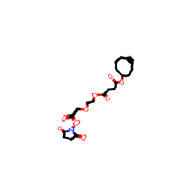 O=C(CCC(=O)OC1CCC#CCCC1)OCCOCC(=O)ON1C(=O)CCC1=O